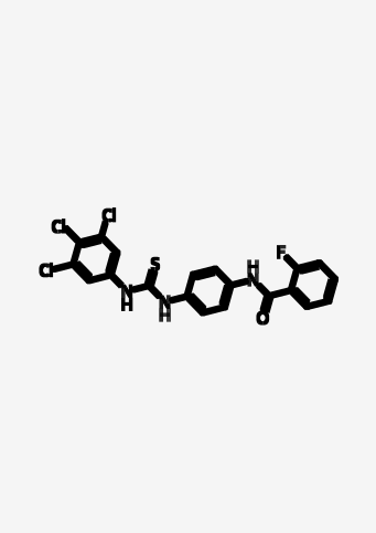 O=C(Nc1ccc(NC(=S)Nc2cc(Cl)c(Cl)c(Cl)c2)cc1)c1ccccc1F